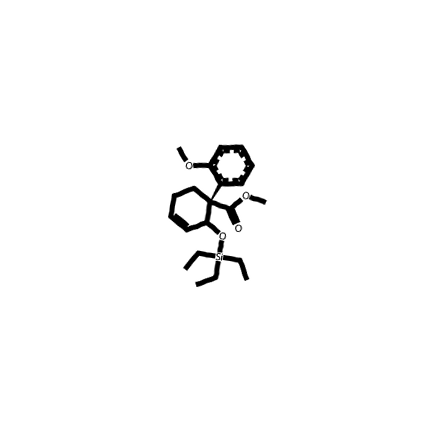 CC[Si](CC)(CC)OC1C=CCC[C@@]1(C(=O)OC)c1ccccc1OC